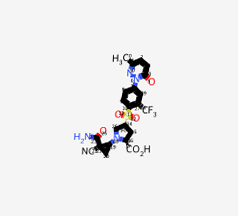 Cc1ccc(=O)n(-c2ccc(S(=O)(=O)[C@@H]3C[C@@H](C(=O)O)N(C4CC4(C#N)C(N)=O)C3)c(C(F)(F)F)c2)n1